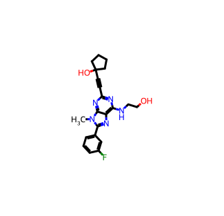 Cn1c(-c2cccc(F)c2)nc2c(NCCO)nc(C#CC3(O)CCCC3)nc21